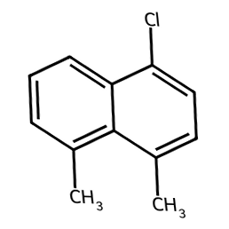 Cc1cccc2c(Cl)ccc(C)c12